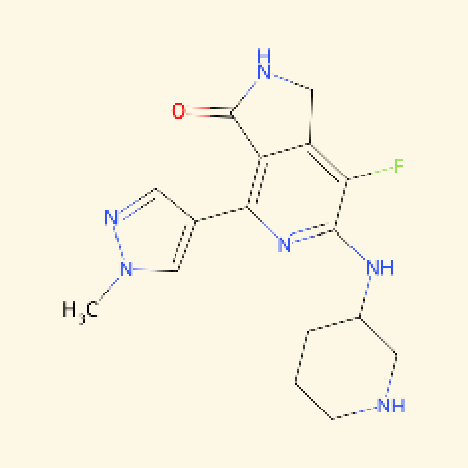 Cn1cc(-c2nc(NC3CCCNC3)c(F)c3c2C(=O)NC3)cn1